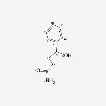 NC(=O)CCC(O)c1ccccc1